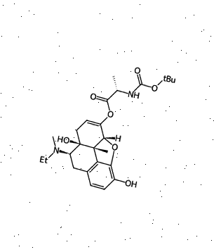 CCN(C)[C@@H]1Cc2ccc(O)c3c2[C@@]2(C)[C@@H](O3)C(OC(=O)[C@H](C)NC(=O)OC(C)(C)C)=CC[C@@]12O